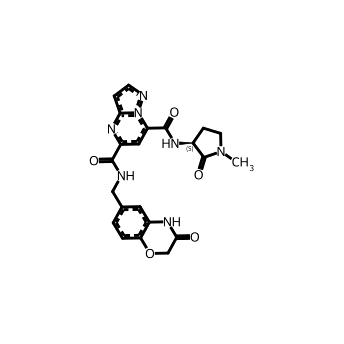 CN1CC[C@H](NC(=O)c2cc(C(=O)NCc3ccc4c(c3)NC(=O)CO4)nc3ccnn23)C1=O